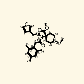 COC(=O)C1(N(OCc2ccoc2)C(=O)Cc2c(C)cc(C)cc2C)CCN(OC)CC1